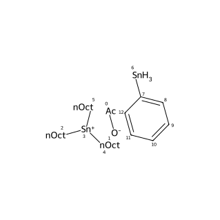 CC(=O)[O-].CCCCCCC[CH2][Sn+]([CH2]CCCCCCC)[CH2]CCCCCCC.[SnH3][c]1ccccc1